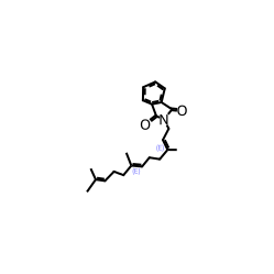 CC(C)=CCC/C(C)=C/CC/C(C)=C/CN1C(=O)c2ccccc2C1=O